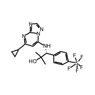 CC(C)(O)[C@H](Nc1cc(C2CC2)nc2ncnn12)c1ccc(S(F)(F)(F)(F)F)cc1